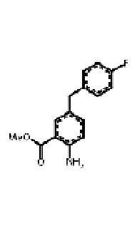 COC(=O)c1cc(Cc2ccc(F)cc2)ccc1N